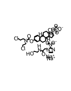 C[C@]12CC[C@@H]3c4ccc(OC(=O)N(CCCl)CCCl)cc4CC[C@H]3[C@@H]1CC[C@@H]2OP(=O)([O-])[O-].O=C(Cn1ccnc1[N+](=O)[O-])NCCO.[Na+].[Na+]